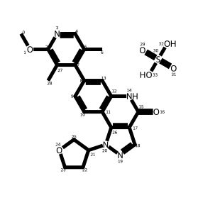 COc1ncc(C)c(-c2ccc3c(c2)[nH]c(=O)c2cnn(C4CCOC4)c23)c1C.O=S(=O)(O)O